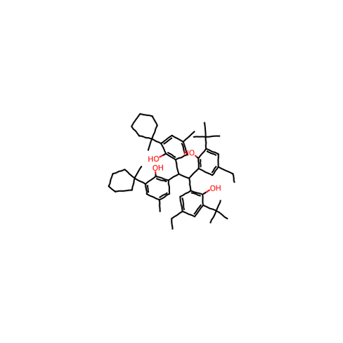 CCc1cc(C(c2cc(CC)cc(C(C)(C)C)c2O)C(c2cc(C)cc(C3(C)CCCCC3)c2O)c2cc(C)cc(C3(C)CCCCC3)c2O)c(O)c(C(C)(C)C)c1